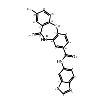 O=C(Nc1ccc2ncsc2c1)c1ccc2c(c1)NC(=O)c1cc(F)ccc1S2